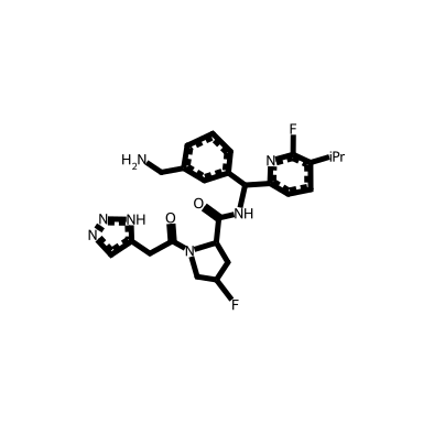 CC(C)c1ccc(C(NC(=O)C2CC(F)CN2C(=O)Cc2cnn[nH]2)c2cccc(CN)c2)nc1F